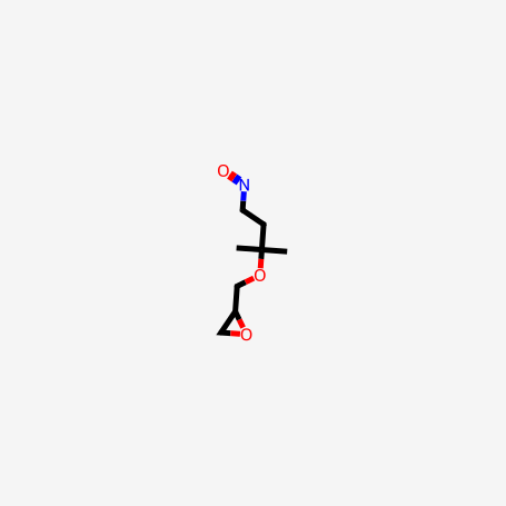 CC(C)(CCN=O)OCC1CO1